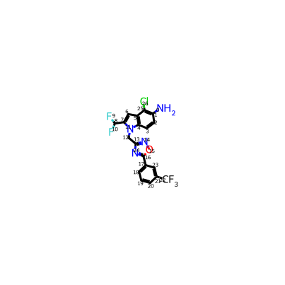 Nc1ccc2c(cc(C(F)F)n2Cc2noc(-c3cccc(C(F)(F)F)c3)n2)c1Cl